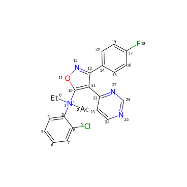 CC[N+](C(C)=O)(c1ccccc1Cl)c1onc(-c2ccc(F)cc2)c1-c1ccncn1